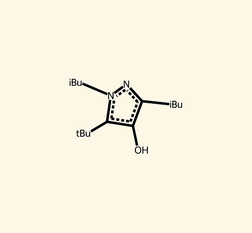 CCC(C)c1nn(C(C)CC)c(C(C)(C)C)c1O